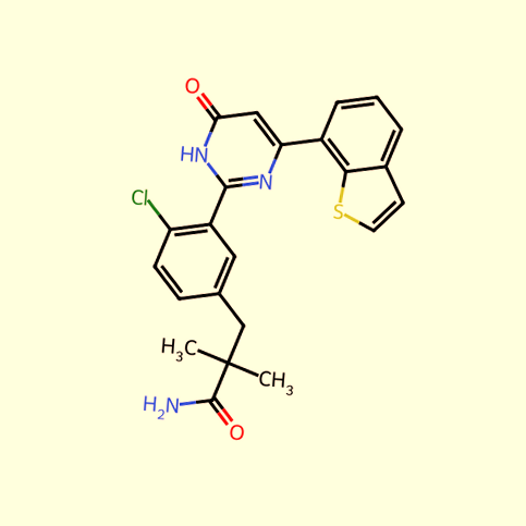 CC(C)(Cc1ccc(Cl)c(-c2nc(-c3cccc4ccsc34)cc(=O)[nH]2)c1)C(N)=O